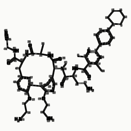 Cc1nc(-c2ccc(C3CCCCC3)cc2)nc(C)c1C(=O)NC(CCN)C(=O)N(C)C1C(=O)NC(C)C(=O)NC(C(=O)NCC#N)Cc2ccc(OCCN)c(c2)-c2cc1ccc2OCCN